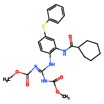 COC(=O)N=C(NC(=O)OC)Nc1ccc(Sc2ccccc2)cc1NC(=O)C1CCCCC1